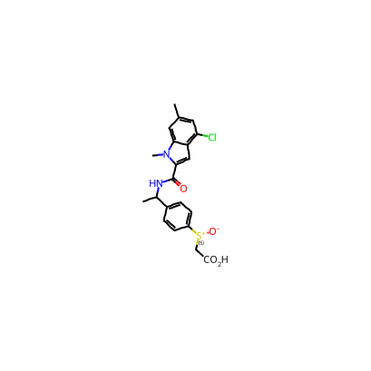 Cc1cc(Cl)c2cc(C(=O)NC(C)c3ccc([S@+]([O-])CC(=O)O)cc3)n(C)c2c1